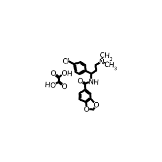 CN(C)CCC(NC(=O)c1ccc2c(c1)OCO2)c1ccc(Cl)cc1.O=C(O)C(=O)O